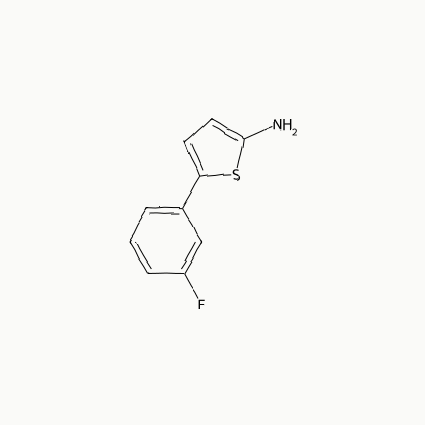 Nc1ccc(-c2cccc(F)c2)s1